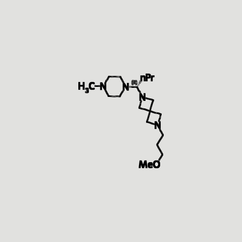 CCC[C@@H](N1CCN(C)CC1)N1CC2(CN(CCCOC)C2)C1